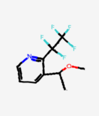 [CH2]C(OC)c1cccnc1C(F)(F)C(F)(F)F